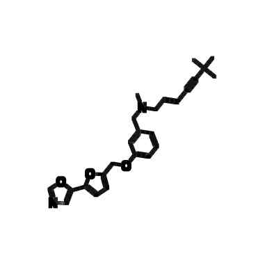 CN(C/C=C/C#CC(C)(C)C)Cc1cccc(OCc2ccc(-c3cnco3)o2)c1